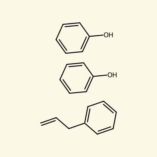 C=CCc1ccccc1.Oc1ccccc1.Oc1ccccc1